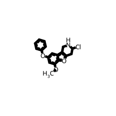 COc1cc(Oc2ccccc2)cc2c3c(oc12)CC(Cl)NC3